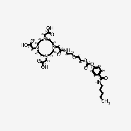 CCCCCNC(=O)c1ccc(OC(=O)OCCOCCNC(=O)CN2CCN(CC(=O)O)CCN(CC(=O)O)CCN(CC(=O)O)CC2)cc1